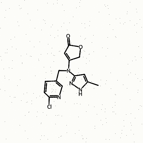 Cc1cc(N(Cc2ccc(Cl)nc2)C2=CC(=O)OC2)n[nH]1